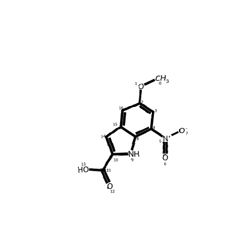 COc1cc([N+](=O)[O-])c2[nH]c(C(=O)O)cc2c1